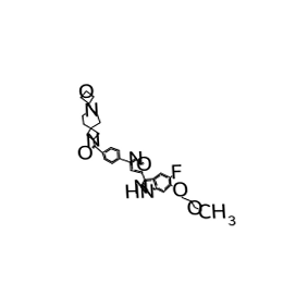 COCCOc1cc2[nH]nc(-c3cc(-c4ccc(C(=O)N5CC6(CCN(C7COC7)CC6)C5)cc4)no3)c2cc1F